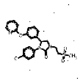 CS(=O)(=O)CCN1CC(c2cccc(Oc3ccccn3)c2)N(c2ccc(Cl)cc2)C1=O